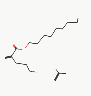 C=C(C)C(=O)O.C=C(CCCCCCCCCCCCC)C(=O)OCCCCCCCCCCCCCCCCCC